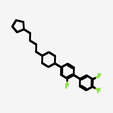 Fc1ccc(-c2ccc(C3CCC(CCCCC4CCCC4)CC3)cc2F)cc1F